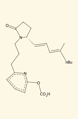 CCCC/C(C)=C/C=C/[C@H]1CCC(=O)N1CCCc1cccc(OC(=O)O)n1